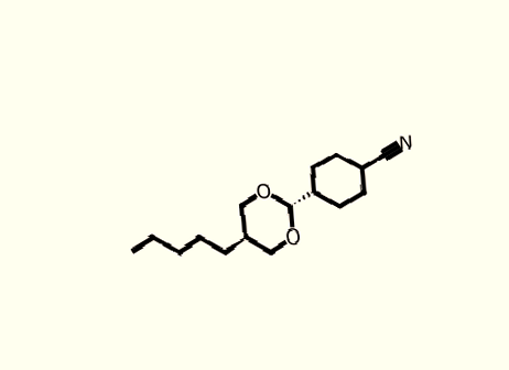 CCCCC[C@H]1CO[C@H](C2CCC(C#N)CC2)OC1